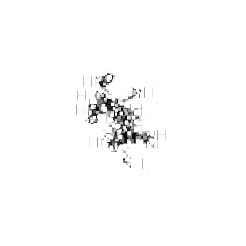 CC(C)C[C@H](NC(=O)[C@H](CCCCN)NC(=O)[C@H](CCCNC(=N)N)NC(=O)[C@H](CC(C)C)NC(=O)[C@H](CC(C)C)NC(=O)[C@H](CCCCN)NC(=O)[C@H](Cc1c[nH]c2ccccc12)NC(=O)[C@@H](N)Cc1c[nH]c2ccccc12)C(=O)O